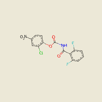 O=C(NC(=O)c1c(F)cccc1F)Oc1ccc([N+](=O)[O-])cc1Cl